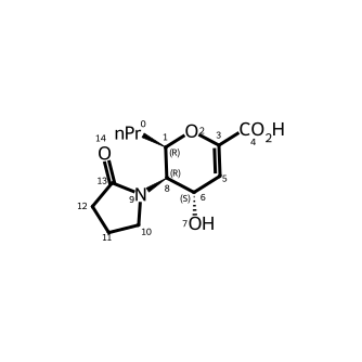 CCC[C@H]1OC(C(=O)O)=C[C@H](O)[C@H]1N1CCCC1=O